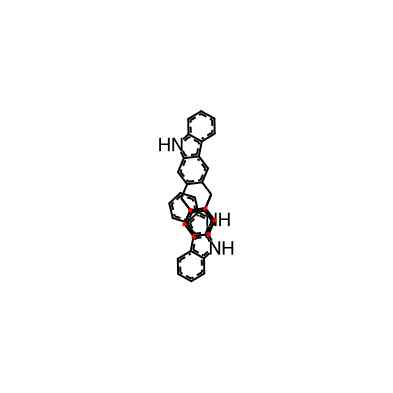 c1ccc2c(c1)[nH]c1cc3c(cc12)C1c2cc4[nH]c5ccccc5c4cc2C3c2cc3c(cc21)[nH]c1ccccc13